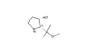 COC(C)(C)[C@H]1CCCN1.Cl